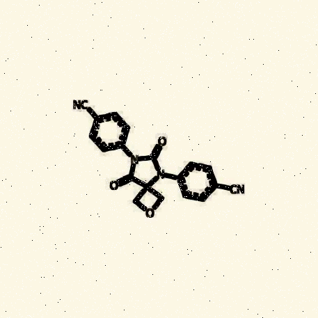 N#Cc1ccc(N2C(=O)N(c3ccc(C#N)cc3)C3(COC3)C2=O)cc1